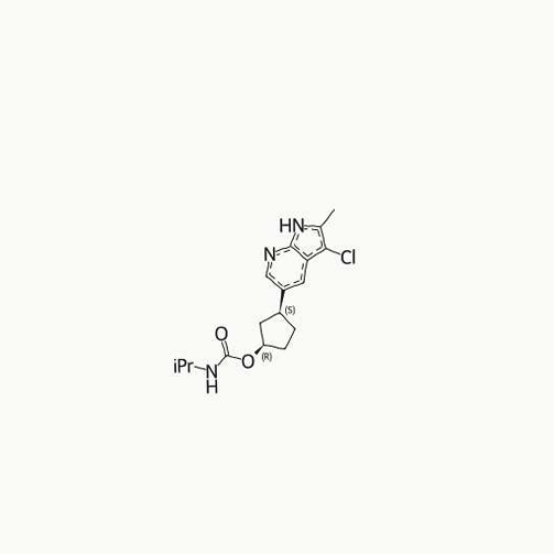 Cc1[nH]c2ncc([C@H]3CC[C@@H](OC(=O)NC(C)C)C3)cc2c1Cl